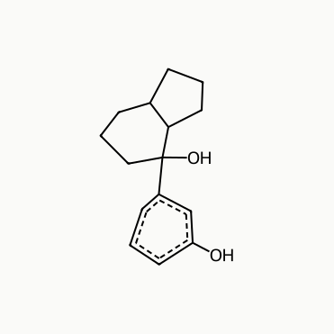 Oc1cccc(C2(O)CCCC3CCCC32)c1